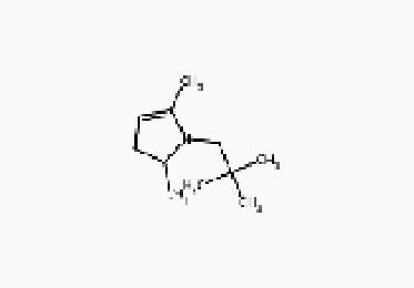 CC1=CCC(C)N1CC(C)(C)C